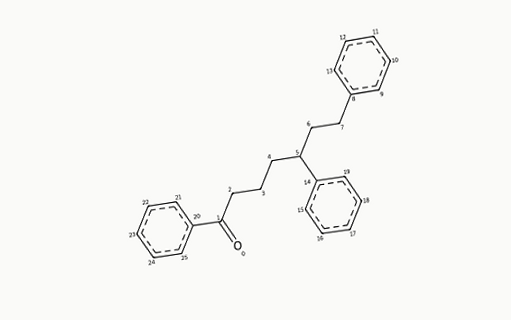 O=C(CCCC(CCc1ccccc1)c1ccccc1)c1ccccc1